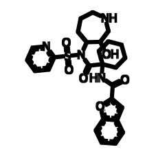 O=C(NC1(C(=O)N(C2CCCNCC2O)S(=O)(=O)c2ccccn2)CCCCC1)c1cc2ccccc2o1